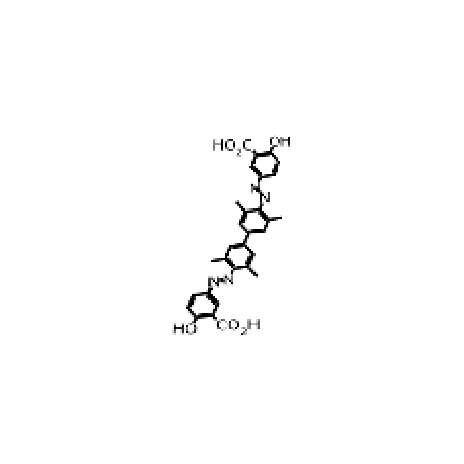 Cc1cc(-c2cc(C)c(N=Nc3ccc(O)c(C(=O)O)c3)c(C)c2)cc(C)c1N=Nc1ccc(O)c(C(=O)O)c1